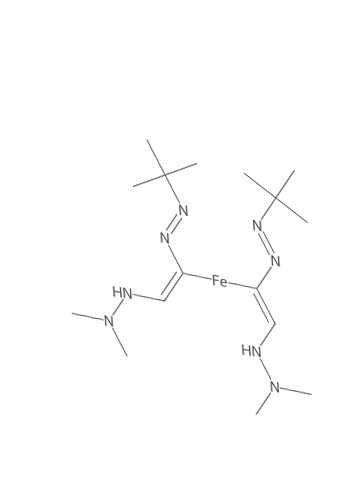 CN(C)NC=[C](N=NC(C)(C)C)[Fe][C](=CNN(C)C)N=NC(C)(C)C